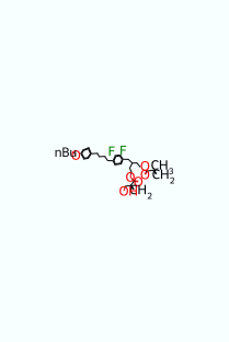 C=C(C)C(=O)OCCC(CCOC(=O)C(=C)CO)Cc1ccc(CCCCc2ccc(OCCCC)cc2)c(F)c1F